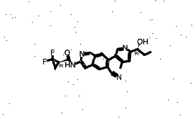 CC[C@@H](O)c1cc(C)c(-c2cc3cnc(NC(=O)[C@H]4CC4(F)F)cc3cc2C#N)cn1